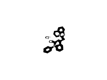 Clc1cc(C=C2Sc3cccc4c3N2CCC4)c2ccccc2[n+]1-c1ccccc1.[Cl-]